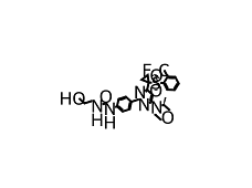 C[C@H]1COCCN1c1cc(C2(S(=O)(=O)c3ccccc3C(F)(F)F)CC2)nc(-c2ccc(NC(=O)NCCO)cc2)n1